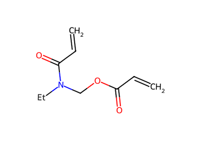 C=CC(=O)OCN(CC)C(=O)C=C